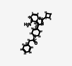 Nc1nccn2c(C3CCC3)nc(C3=CCN(C(=O)Cc4ccccc4)CC3)c12